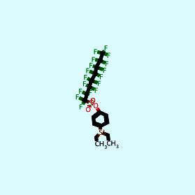 CC[S+](CC)c1ccc(OS(=O)(=O)C(F)(F)C(F)(F)C(F)(F)C(F)(F)C(F)(F)C(F)(F)C(F)(F)C(F)(F)F)cc1